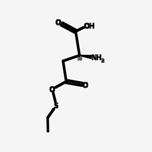 CCSOC(=O)C[C@H](N)C(=O)O